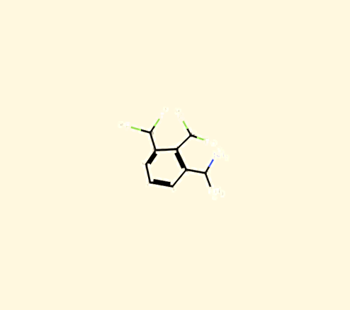 CC(N)c1cccc(C(F)F)c1C(F)F